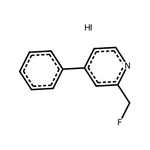 FCc1cc(-c2ccccc2)ccn1.I